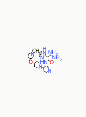 CN1CC[C@@H](OC2CCN(c3ccncc3NC(=O)C(C(N)N)C3NCC(F)CN3)CC2)C1